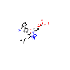 CCCc1c(Cc2ccc(-c3ccccc3C#N)cc2)c(=O)n([C@H]2CC[C@H](OCC(=O)O)CC2)c2ncnn12